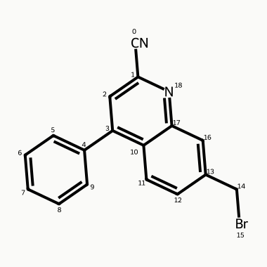 N#Cc1cc(-c2ccccc2)c2ccc(CBr)cc2n1